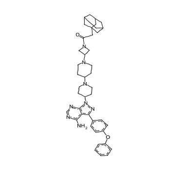 Nc1ncnc2c1c(-c1ccc(Oc3ccccc3)cc1)nn2C1CCN(C2CCN(C3CN(C(=O)CC45CC6CC(CC(C6)C4)C5)C3)CC2)CC1